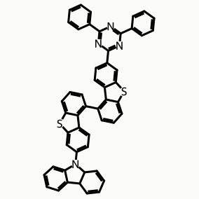 C1=CC2c3ccccc3N(c3ccc4c(c3)sc3cccc(-c5cccc6sc7cc(-c8nc(-c9ccccc9)nc(-c9ccccc9)n8)ccc7c56)c34)C2C=C1